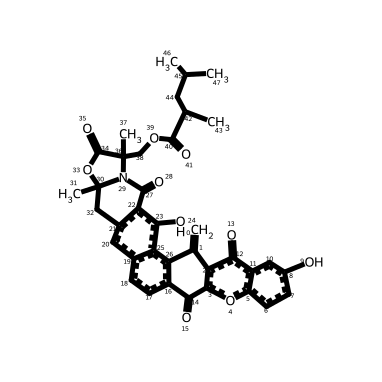 C=C1c2c(oc3ccc(O)cc3c2=O)C(=O)c2ccc3cc4c(c(O)c3c21)C(=O)N1C(C)(C4)OC(=O)C1(C)COC(=O)C(C)CC(C)C